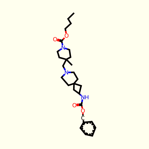 CCCCOC(=O)N1CCC(C)(CN2CCC3(CC2)CC(NC(=O)OCc2ccccc2)C3)CC1